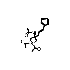 CC(=O)NC(C/C=C/c1ccccc1)(COC(C)=O)COC(C)=O